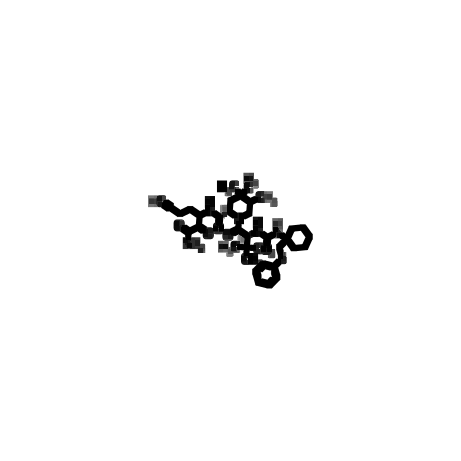 C#CCCC(NC(=O)[C@@H]1CC(C)(C)C(C)CN1C(=O)[C@@H](NC(=O)NC1(CSc2ccccc2)CCCCC1)C(C)(C)C)C(=O)C(N)=O